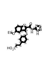 CCOc1ccc2sc(C(=O)Nc3nnn[nH]3)c(Sc3ccc(CCC(=O)O)cc3)c2c1